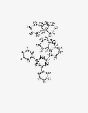 c1ccc(-c2nc(-c3ccccc3)nc(-c3cccc4oc5c(-c6cccc7sc8ccccc8c67)cccc5c34)n2)cc1